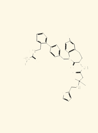 CCNC(=O)NCc1ccccc1-c1ccc(CN2C(=O)[C@H](NC(=O)CC(C)(C)NCc3ccco3)CCc3cc(F)ccc32)cc1